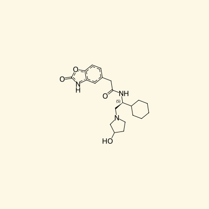 O=C(Cc1ccc2oc(=O)[nH]c2c1)N[C@H](CN1CCC(O)C1)C1CCCCC1